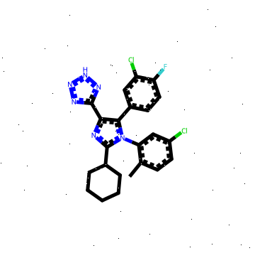 Cc1ccc(Cl)cc1-n1c(C2CCCCC2)nc(-c2nn[nH]n2)c1-c1ccc(F)c(Cl)c1